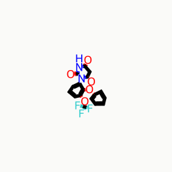 O=C1CC(=O)N(c2cccc(OC(F)(F)F)c2Oc2ccccc2)C(=O)N1